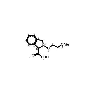 COCCON1Cc2ccccc2C1C(=O)C=O